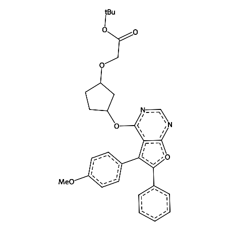 COc1ccc(-c2c(-c3ccccc3)oc3ncnc(OC4CCC(OCC(=O)OC(C)(C)C)C4)c23)cc1